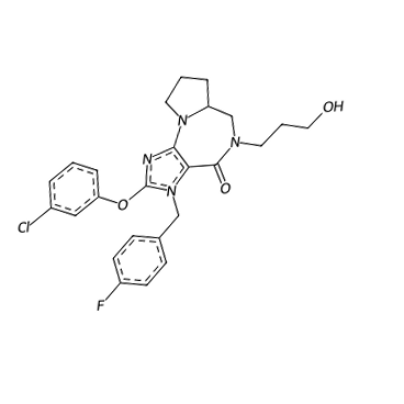 O=C1c2c(nc(Oc3cccc(Cl)c3)n2Cc2ccc(F)cc2)N2CCCC2CN1CCCO